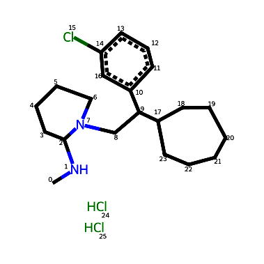 CNC1CCCCN1CC(c1cccc(Cl)c1)C1CCCCCC1.Cl.Cl